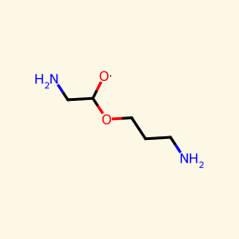 NCCCOC([O])CN